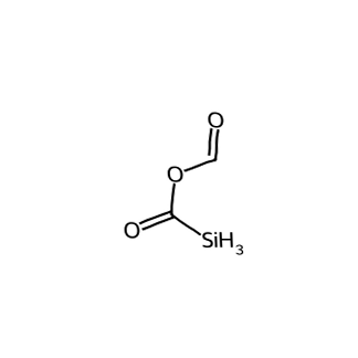 O=COC(=O)[SiH3]